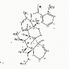 C=C(C[C@@]1(O)C(C)=C[C@@H](OC(C)=O)[C@@]2(C)[C@H]1CCC1(C)[C@@H]3C=CCOC[C@]3(CCOC(C)=O)[C@@H](OC(C)=O)[C@@H](OC(C)=O)[C@@H]12)c1ccccc1OC